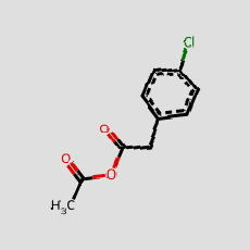 CC(=O)OC(=O)Cc1ccc(Cl)cc1